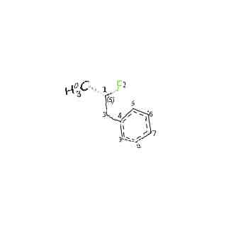 C[C@H](F)Cc1c[c]ccc1